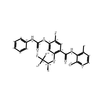 Cc1ccnc(Cl)c1NC(=O)c1cc(F)c(OC(=O)Nc2ccccc2)cc1O[C@@H](C)C(F)(F)F